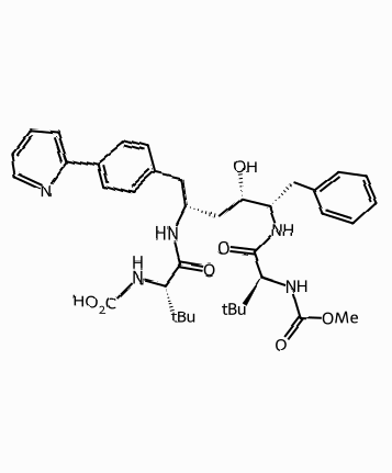 COC(=O)N[C@H](C(=O)N[C@@H](Cc1ccccc1)[C@@H](O)C[C@@H](Cc1ccc(-c2ccccn2)cc1)NC(=O)[C@@H](NC(=O)O)C(C)(C)C)C(C)(C)C